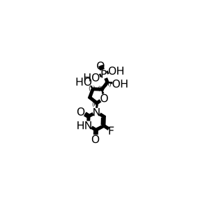 O=c1[nH]c(=O)n([C@H]2C[C@H](O)[C@@H]([C@H](O)P(=O)(O)O)O2)cc1F